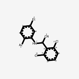 CCc1ccc(C(C)=O)c(NC(C#N)c2c(Cl)cccc2Cl)c1